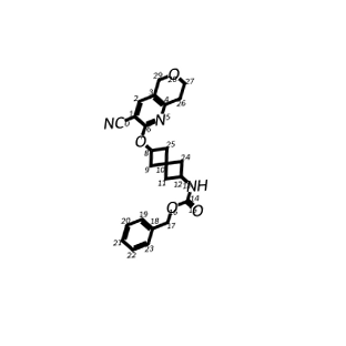 N#Cc1cc2c(nc1OC1CC3(CC(NC(=O)OCc4ccccc4)C3)C1)CCOC2